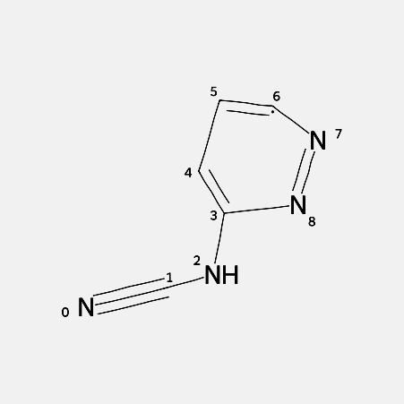 N#CNc1cc[c]nn1